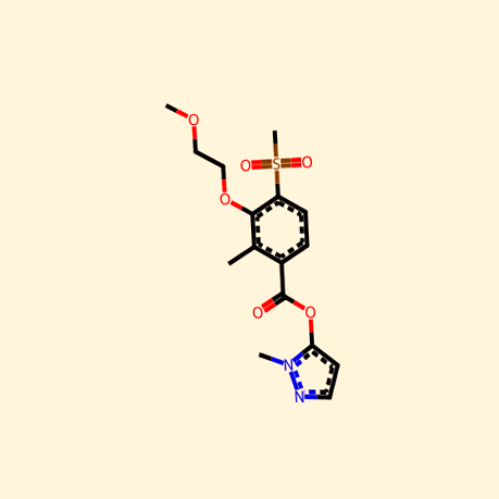 COCCOc1c(S(C)(=O)=O)ccc(C(=O)Oc2ccnn2C)c1C